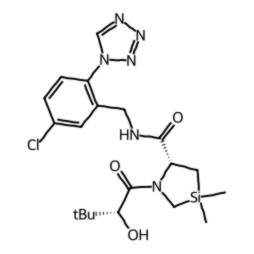 CC(C)(C)[C@@H](O)C(=O)N1C[Si](C)(C)C[C@H]1C(=O)NCc1cc(Cl)ccc1-n1cnnn1